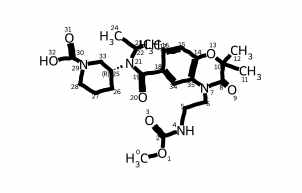 COC(=O)NCCN1C(=O)C(C)(C)Oc2cc(C)c(C(=O)N(C(C)C)[C@@H]3CCCN(C(=O)O)C3)cc21